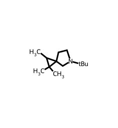 CC1C(C)(C)C12CCN(C(C)(C)C)C2